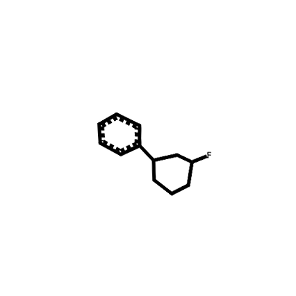 FC1CCCC(c2ccccc2)C1